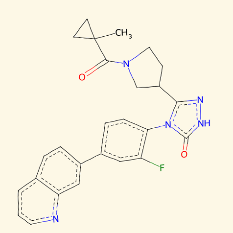 CC1(C(=O)N2CCC(c3n[nH]c(=O)n3-c3ccc(-c4ccc5cccnc5c4)cc3F)C2)CC1